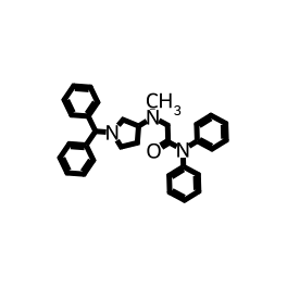 CN(CC(=O)N(c1ccccc1)c1ccccc1)C1CCN(C(c2ccccc2)c2ccccc2)C1